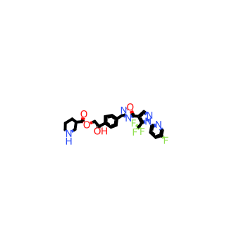 O=C(OC[C@@H](O)c1ccc(-c2noc(-c3cnn(-c4ccc(F)cn4)c3C(F)(F)F)n2)cc1)C1CCCNC1